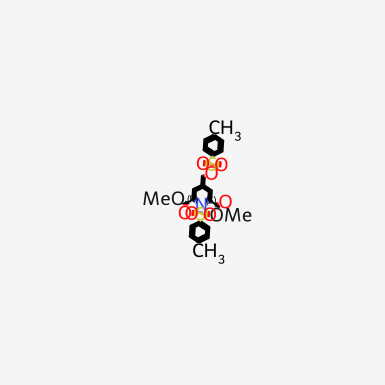 COC(=O)[C@H]1CC(COS(=O)(=O)c2ccc(C)cc2)C[C@@H](C(=O)OC)N1S(=O)(=O)c1ccc(C)cc1